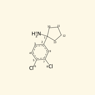 NC1(c2ccc(Cl)c(Cl)c2)CCCC1